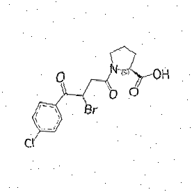 O=C(c1ccc(Cl)cc1)C(Br)CC(=O)N1CCC[C@H]1C(=O)O